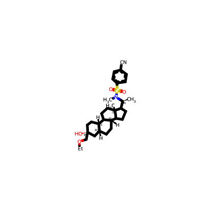 CCOC[C@@]1(O)CC[C@@H]2C3CC[C@@]4(C)C(CCC4[C@@H](C)N(C)S(=O)(=O)c4ccc(C#N)cc4)[C@@H]3CC[C@@H]2C1